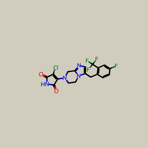 O=C1NC(=O)C(N2CCn3c(Cc4ccc(F)cc4C(F)(F)F)cnc3C2)=C1Cl